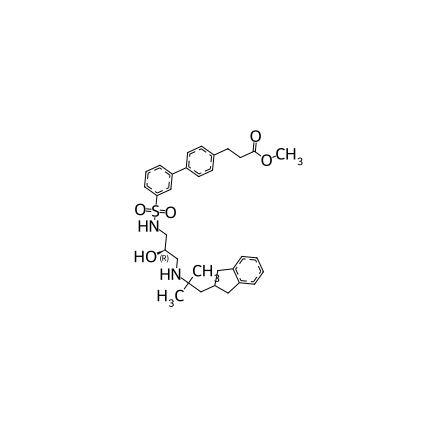 COC(=O)CCc1ccc(-c2cccc(S(=O)(=O)NC[C@H](O)CNC(C)(C)CC3Cc4ccccc4C3)c2)cc1